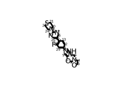 O=C1OCCN1CN1C=CN(c2ccc(-c3cnc(N4CCSCC4)nc3)c(F)c2)N1